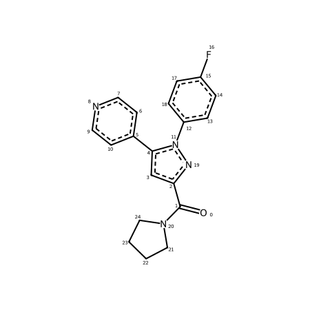 O=C(c1cc(-c2ccncc2)n(-c2ccc(F)cc2)n1)N1CCCC1